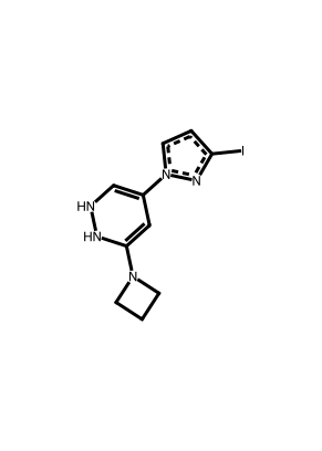 Ic1ccn(C2=CNNC(N3CCC3)=C2)n1